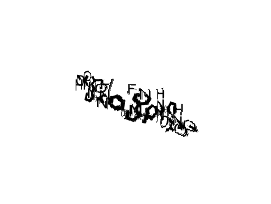 COC(=O)N[C@H](C(=O)N1CCC[C@H]1c1nc2c([nH]1)C=CC(C)([C@H]1CC[C@H](c3ccc4[nH]c([C@@H]5CCCN5C(=O)[C@@H](NC(=O)OC)C(C)C)nc4c3)N1c1ccnc(F)c1)C2)C(C)C